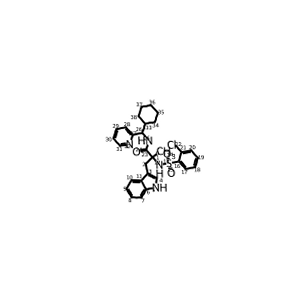 CC(Cc1c[nH]c2ccccc12)(NS(=O)(=O)c1ccccc1Cl)C(=O)NC(c1ccccn1)C1CCCCC1